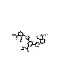 CCNC(=O)c1cc(-c2cn(-c3cccc(C(=O)O)c3C#N)nn2)nc(-c2cn(-c3cccc(C(=O)O)c3C#N)nn2)c1